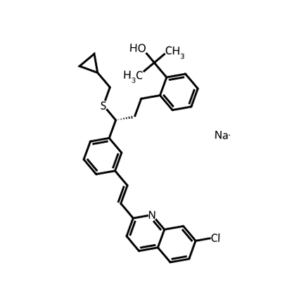 CC(C)(O)c1ccccc1CC[C@@H](SCC1CC1)c1cccc(C=Cc2ccc3ccc(Cl)cc3n2)c1.[Na]